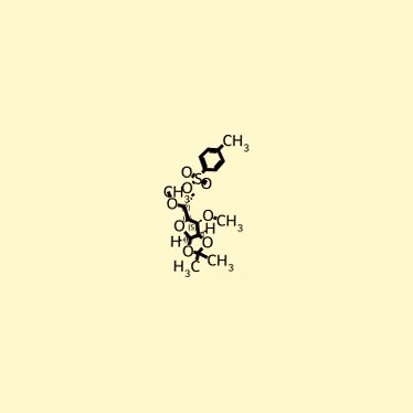 CO[C@@H]1[C@H]2OC(C)(C)O[C@H]2O[C@@H]1[C@@H](COS(=O)(=O)c1ccc(C)cc1)OC